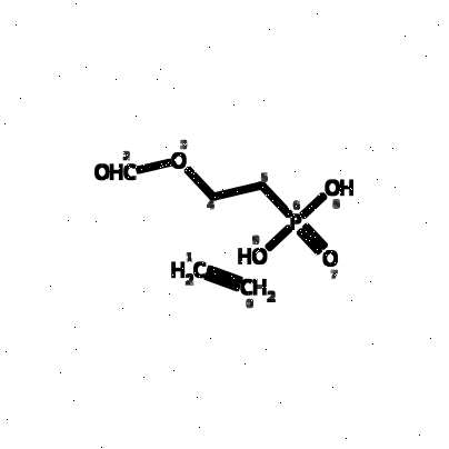 C=C.O=COCCP(=O)(O)O